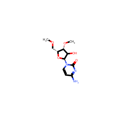 COC[C@H]1O[C@H](n2ccc(N)nc2=O)C(O)[C@H]1OC